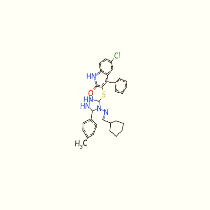 Cc1ccc(C2NNC(Sc3c(-c4ccccc4)c4cc(Cl)ccc4[nH]c3=O)N2/N=C/C2CCCCC2)cc1